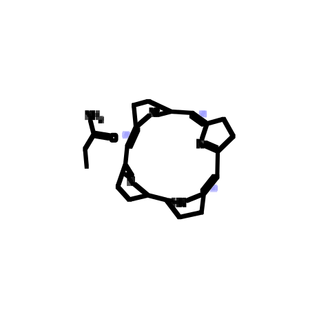 C1=C2/CCC(=N2)/C=C2/CCC(N2)C2CCC(=N2)/C=C2/CCC/1=N2.CCC(N)=O